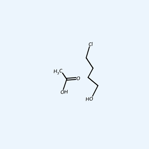 CC(=O)O.OCCCCCl